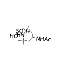 CC(=O)NC1CC(C)(C)NC(C)(C)C1.O=S(=O)(O)O